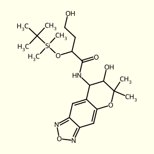 CC1(C)Oc2cc3nonc3cc2C(NC(=O)C(CCO)O[Si](C)(C)C(C)(C)C)C1O